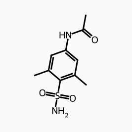 CC(=O)Nc1cc(C)c(S(N)(=O)=O)c(C)c1